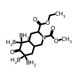 BC1(B)CC2CN(C(=O)OC)C(C(=O)OCC)CC2C(B)(B)C1=O